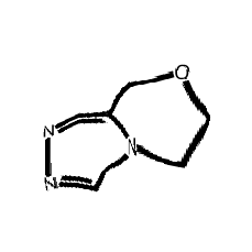 c1nnc2n1CCOC2